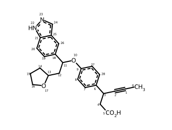 CC#CC(CC(=O)O)c1ccc(OC(CC2CCCO2)c2ccc3[nH]ncc3c2)cc1